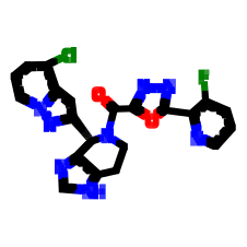 O=C(c1nnc(-c2ncccc2F)o1)N1CCc2[nH]cnc2[C@H]1c1cc2c(Cl)cccn2n1